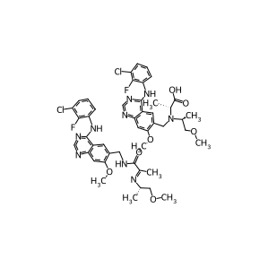 COC[C@H](C)N(Cc1cc2c(Nc3cccc(Cl)c3F)ncnc2cc1OC)[C@H](C)C(=O)O.COC[C@H](C)N=C(C)C(=O)NCc1cc2c(Nc3cccc(Cl)c3F)ncnc2cc1OC